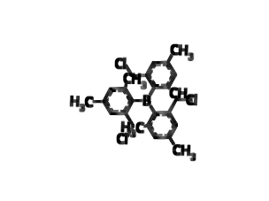 Cc1cc(C)c(B(c2c(C)cc(C)cc2CCl)c2c(C)cc(C)cc2CCl)c(CCl)c1